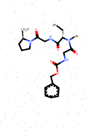 CCCN(C(=O)CNC(=O)OCc1ccccc1)[C@@H](CC(C)C)C(=O)NCC(=O)N1CCC[C@H]1C(=O)O